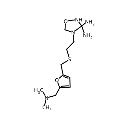 CN(C)Cc1ccc(CSCCN2CONC2(N)N)o1